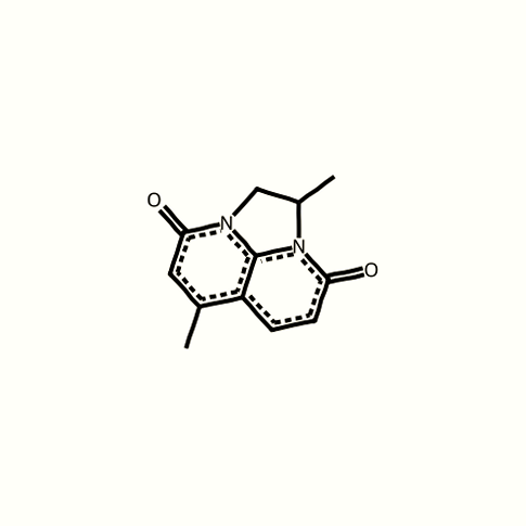 Cc1cc(=O)n2c3c1ccc(=O)n3C(C)C2